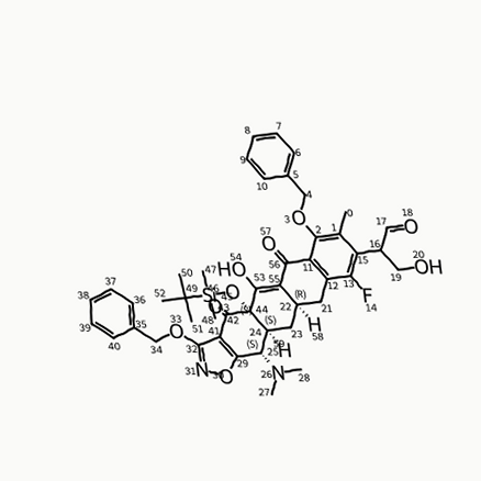 Cc1c(OCc2ccccc2)c2c(c(F)c1C(C=O)CO)C[C@H]1C[C@H]3[C@H](N(C)C)c4onc(OCc5ccccc5)c4C(=O)[C@@]3(O[Si](C)(C)C(C)(C)C)C(O)=C1C2=O